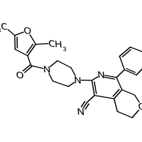 Cc1cc(C(=O)N2CCN(c3nc(-c4ccccc4)c4c(c3C#N)CCOC4)CC2)c(C)o1